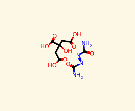 NC(=O)N=NC(N)=O.O=C(O)CC(O)(CC(=O)O)C(=O)O